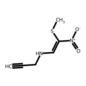 C#CCNC=C(SC)[N+](=O)[O-]